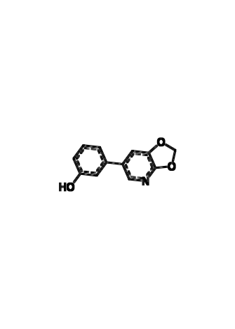 Oc1cccc(-c2cnc3c(c2)OCO3)c1